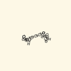 O=C1CCC(N2C(=O)c3cccc(N4CCC(N5CCC(N6CCN7c8cc(-c9ccccc9O)nnc8NCC7C6)CC5)CC4)c3C2=O)C(=O)N1